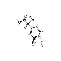 CCC(C)(C(=O)OC)c1ccc(OC)c(Br)c1